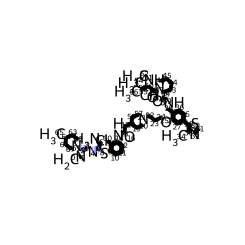 C=N/C(=C\N=C(/CN)Sc1cccc(NC(=O)CC2CCN(CCCOc3cc(-c4scnc4C)ccc3CNC(=O)[C@@H]3CCCCN3C(=O)C(NC)C(C)(C)C)CC2)c1Cl)N1CCC(C)CC1